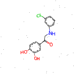 O=C(CNc1cccc(Cl)c1)c1ccc(O)c(O)c1